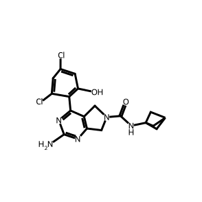 Nc1nc2c(c(-c3c(O)cc(Cl)cc3Cl)n1)CN(C(=O)NC13CC(C1)C3)C2